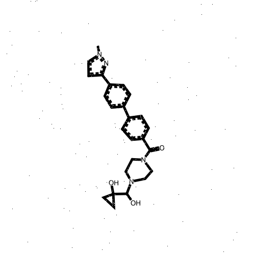 Cn1ccc(-c2ccc(-c3ccc(C(=O)N4CCN(C(O)C5(O)CC5)CC4)cc3)cc2)n1